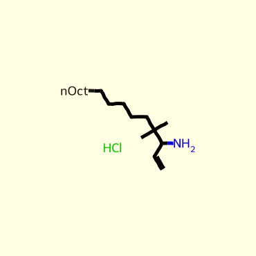 C=CC(N)C(C)(C)CCCCCCCCCCCCC.Cl